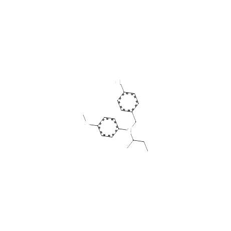 CCC(C)N(Cc1ccc(Cl)cc1)c1ccc(OC)cc1